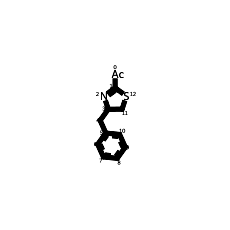 CC(=O)C1=NC(Cc2ccccc2)CS1